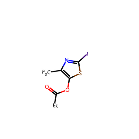 CCC(=O)Oc1sc(I)nc1C(F)(F)F